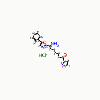 Cl.N[C@@H](CCCCCC(=O)c1ccon1)c1ncc(-c2ccccc2F)o1